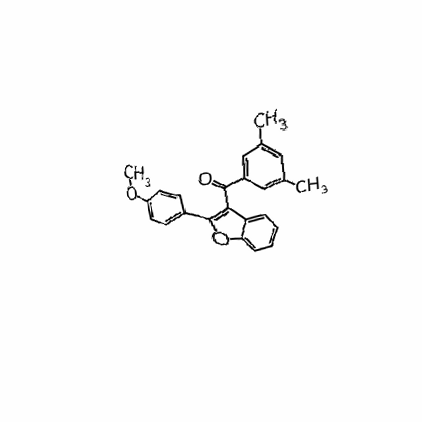 COc1ccc(-c2oc3ccccc3c2C(=O)c2cc(C)cc(C)c2)cc1